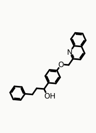 OC(CCc1ccccc1)c1ccc(OCc2ccc3ccccc3n2)cc1